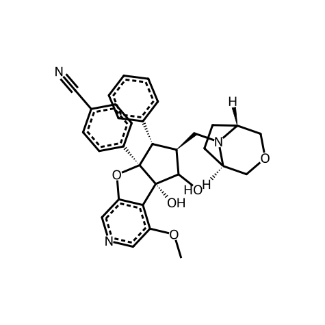 COc1cncc2c1[C@]1(O)C(O)[C@H](CN3[C@@H]4CC[C@@H]3COC4)[C@@H](c3ccccc3)[C@]1(c1ccc(C#N)cc1)O2